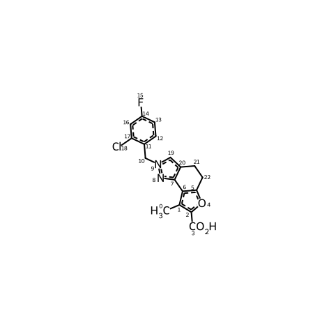 Cc1c(C(=O)O)oc2c1-c1nn(Cc3ccc(F)cc3Cl)cc1CC2